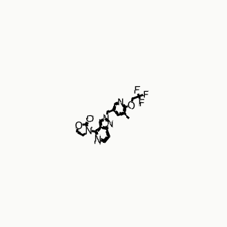 Cc1cc(Cn2cc3c(N4CCOC4=O)nccc3n2)cnc1OCC(F)(F)F